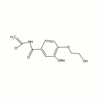 C=C(Cl)NC(=O)c1ccc(OCCO)c(OC)c1